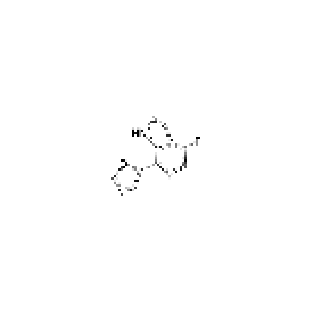 Fc1cnc(-c2cnco2)c2[nH]ccc12